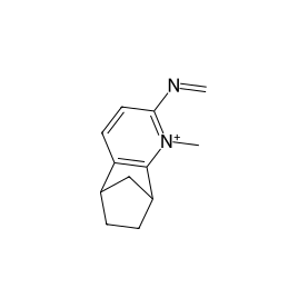 C=Nc1ccc2c([n+]1C)C1CCC2C1